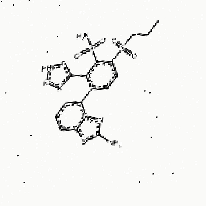 CCCS(=O)(=O)c1ccc(-c2cccc3sc(N)nc23)c(-c2nn[nH]n2)c1S(N)(=O)=O